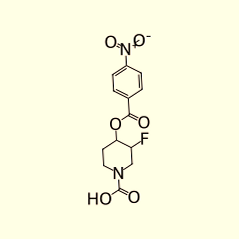 O=C(OC1CCN(C(=O)O)CC1F)c1ccc([N+](=O)[O-])cc1